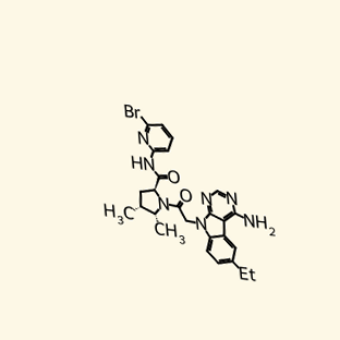 CCc1ccc2c(c1)c1c(N)ncnc1n2CC(=O)N1[C@H](C)[C@H](C)C[C@H]1C(=O)Nc1cccc(Br)n1